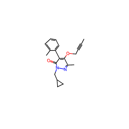 CC#CCOc1c(C)nn(CC2CC2)c(=O)c1-c1ccccc1C